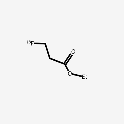 CCOC(=O)CC[18F]